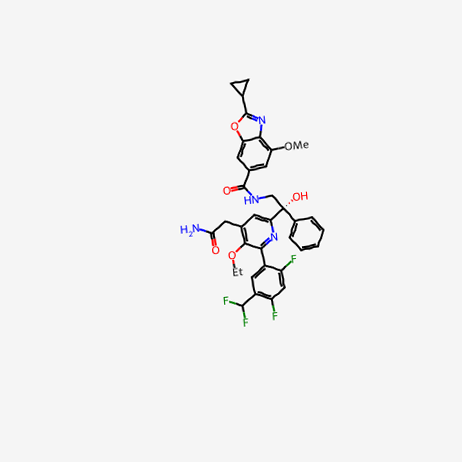 CCOc1c(CC(N)=O)cc([C@@](O)(CNC(=O)c2cc(OC)c3nc(C4CC4)oc3c2)c2ccccc2)nc1-c1cc(C(F)F)c(F)cc1F